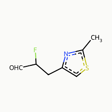 Cc1nc(CC(F)C=O)cs1